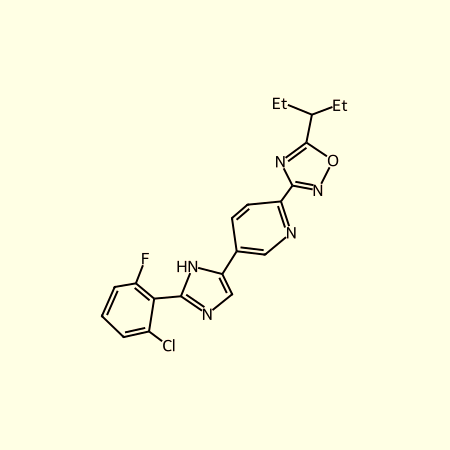 CCC(CC)c1nc(-c2ccc(-c3cnc(-c4c(F)cccc4Cl)[nH]3)cn2)no1